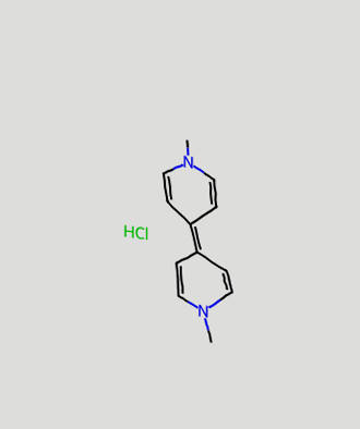 CN1C=CC(=C2C=CN(C)C=C2)C=C1.Cl